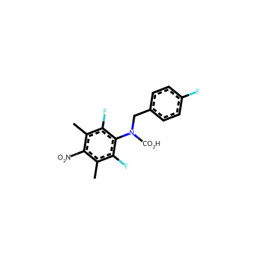 Cc1c(F)c(N(Cc2ccc(F)cc2)C(=O)O)c(F)c(C)c1[N+](=O)[O-]